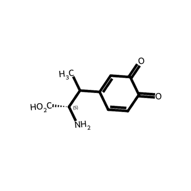 CC(C1=CC(=O)C(=O)C=C1)[C@H](N)C(=O)O